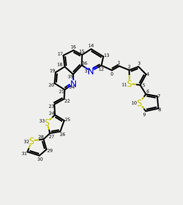 C(=C\c1ccc(-c2cccs2)s1)/c1ccc2ccc3ccc(/C=C/c4ccc(-c5cccs5)s4)nc3c2n1